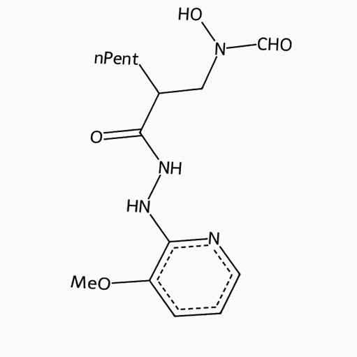 CCCCCC(CN(O)C=O)C(=O)NNc1ncccc1OC